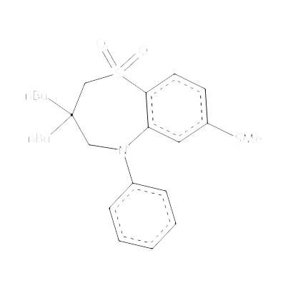 CCCCC1(CCCC)CN(c2ccccc2)c2cc(SC)ccc2S(=O)(=O)C1